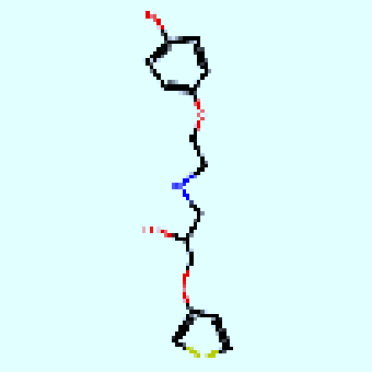 Oc1ccc(OCCNCC(O)COc2ccsc2)cc1